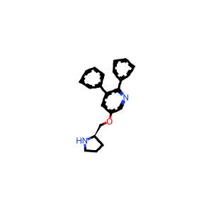 c1ccc(-c2cc(OC[C@H]3CCCN3)cnc2-c2ccccc2)cc1